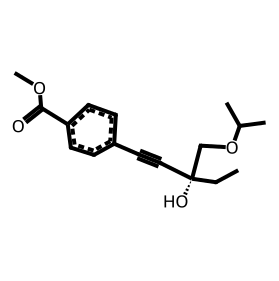 CC[C@@](O)(C#Cc1ccc(C(=O)OC)cc1)COC(C)C